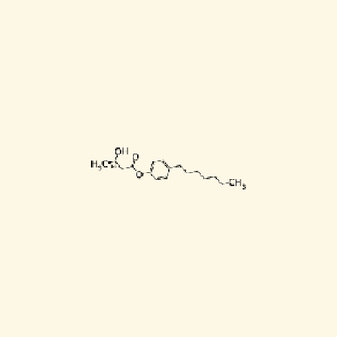 CCCCCCCc1ccc(OC(=O)C[C@@H](C)O)cc1